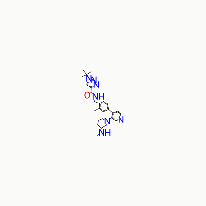 CN[C@@H]1CCCN(c2cnccc2-c2ccc(CNC(=O)c3cn(C(C)(C)C)nn3)c(C)c2)C1